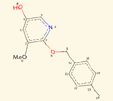 COc1cc(O)cnc1OCc1ccc(C)cc1